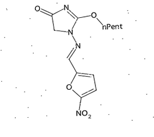 CCCCCOC1=NC(=O)CN1/N=C/c1ccc([N+](=O)[O-])o1